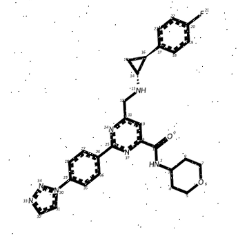 O=C(NC1CCOCC1)c1cc(CN[C@@H]2C[C@H]2c2ccc(F)cc2)nc(-c2ccc(-n3ccnn3)cc2)n1